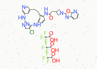 O=C(CC1CN(c2nc3cccnc3o2)C1)Nc1ccc2cc1CCc1cncc(c1)Nc1ncc(Cl)c(n1)N2.O=C(O)C(F)(F)F.O=C(O)C(F)(F)F.O=C(O)C(F)(F)F